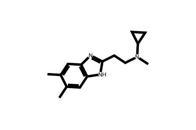 Cc1cc2nc(CCN(C)C3CC3)[nH]c2cc1C